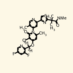 [2H]C([2H])(Oc1cc(C)n(-c2cc(-c3csc(C(C)(C)C(=O)NC)n3)ncc2C)c(=O)c1Cl)c1ncc(F)cc1F